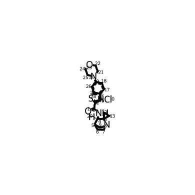 Cl.O=C(N[C@@H]1C2CCN(CC2)C12CC2)c1cc2ccc(N3CCOCC3)cc2s1